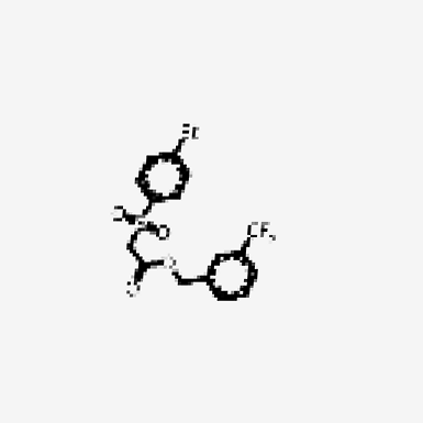 CCc1ccc(S(=O)(=O)CC(=O)OCc2cccc(C(F)(F)F)c2)cc1